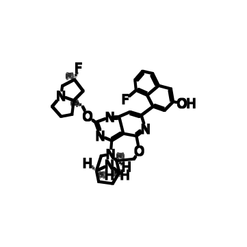 Oc1cc(-c2cc3nc(OC[C@]45CCCN4C[C@H](F)C5)nc4c3c(n2)OC[C@H]2[C@H]3CC[C@@H](CN42)N3)c2c(F)cccc2c1